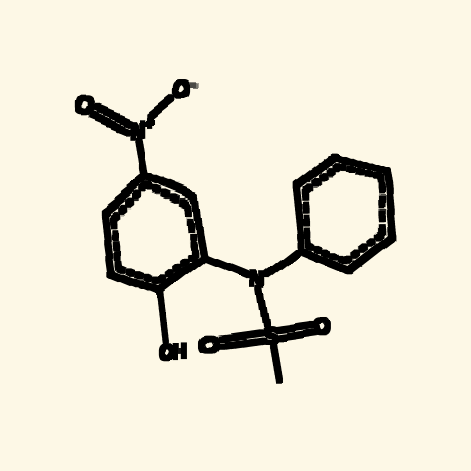 CS(=O)(=O)N(c1ccccc1)c1cc([N+](=O)[O-])ccc1O